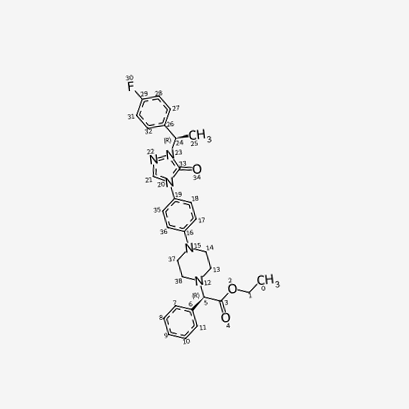 CCOC(=O)[C@@H](c1ccccc1)N1CCN(c2ccc(-n3cnn([C@H](C)c4ccc(F)cc4)c3=O)cc2)CC1